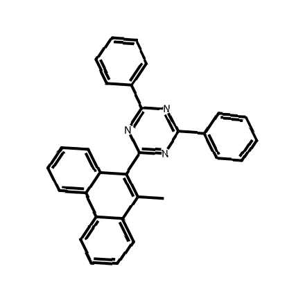 Cc1c(-c2nc(-c3ccccc3)nc(-c3ccccc3)n2)c2ccccc2c2ccccc12